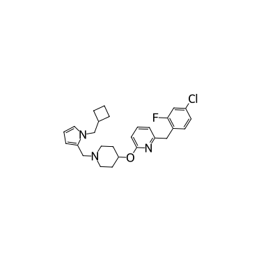 Fc1cc(Cl)ccc1Cc1cccc(OC2CCN(Cc3cccn3CC3CCC3)CC2)n1